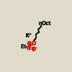 CCCCCCCCCCCCCCOP(=O)([O-])OCC.[K+]